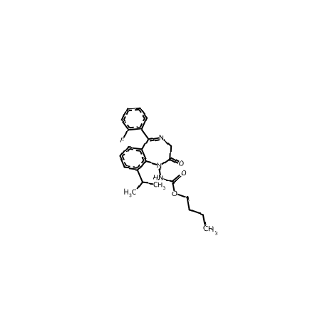 CCCCOC(=O)NN1C(=O)CN=C(c2ccccc2F)c2cccc(C(C)C)c21